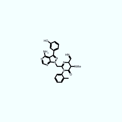 CNC1C(=O)N(c2ccccc2C)C(Cn2nc(-c3cccc(O)c3)c3c(N)ncnc32)=NC1C=N